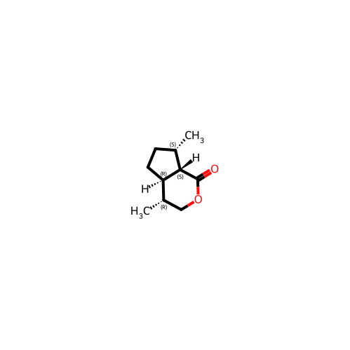 C[C@H]1COC(=O)[C@@H]2[C@@H]1CC[C@@H]2C